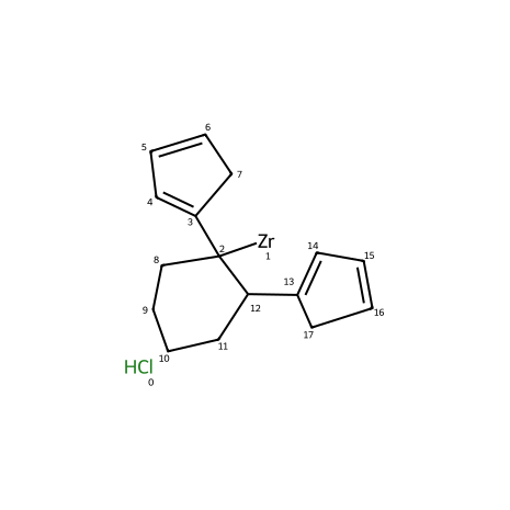 Cl.[Zr][C]1(C2=CC=CC2)CCCCC1C1=CC=CC1